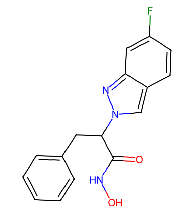 O=C(NO)C(Cc1ccccc1)n1cc2ccc(F)cc2n1